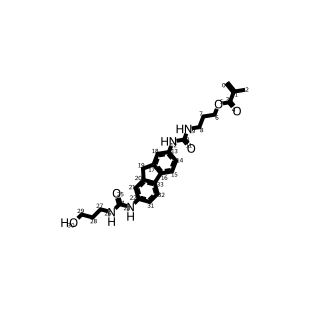 C=C(C)C(=O)OCCCNC(=O)Nc1ccc2c(c1)Cc1cc(NC(=O)NCCCO)ccc1-2